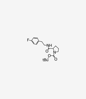 CC(C)(C)OC(=O)N1CCCC1C(=O)NCCc1ccc(F)cc1